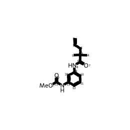 C=CCC(C)(C)C(=O)Nc1cccc(NC(=O)OC)c1